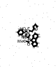 CCC(CN(C(Cc1ccco1)C(=O)O)S(=O)(=O)c1ccccc1[N+](=O)[O-])N(C(=O)OC)C1c2ccccc2-c2ccccc21